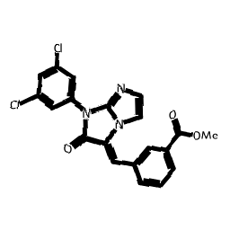 COC(=O)c1cccc(/C=c2/c(=O)n(-c3cc(Cl)cc(Cl)c3)c3nccn23)c1